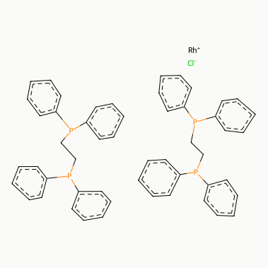 [Cl-].[Rh+].c1ccc(P(CCP(c2ccccc2)c2ccccc2)c2ccccc2)cc1.c1ccc(P(CCP(c2ccccc2)c2ccccc2)c2ccccc2)cc1